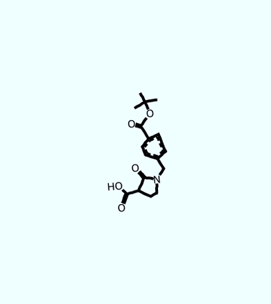 CC(C)(C)OC(=O)c1ccc(CN2CCC(C(=O)O)C2=O)cc1